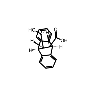 O=C(O)[C@@H]1[C@H]2c3ccccc3[C@H](c3ccccc32)[C@@H]1C(=O)O